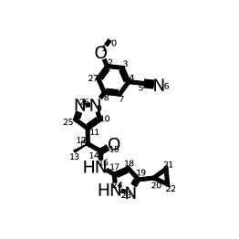 COc1cc(C#N)cc(-n2cc([C@H](C)C(=O)Nc3cc(C4CC4)n[nH]3)cn2)c1